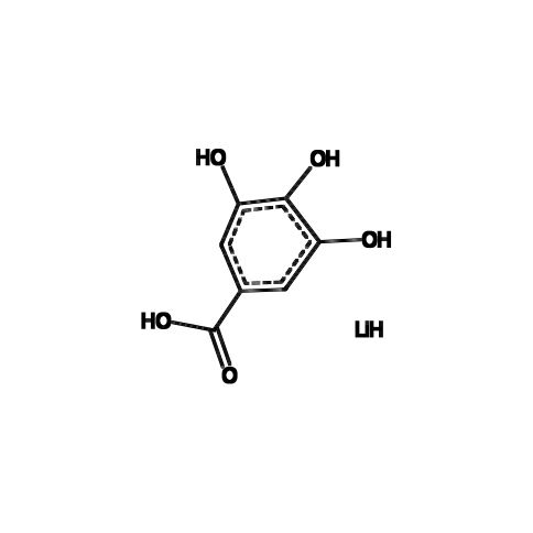 O=C(O)c1cc(O)c(O)c(O)c1.[LiH]